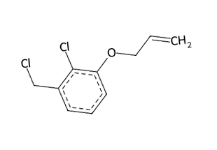 C=CCOc1cccc(CCl)c1Cl